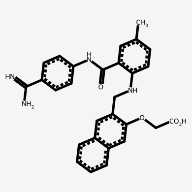 Cc1ccc(NCc2cc3ccccc3cc2OCC(=O)O)c(C(=O)Nc2ccc(C(=N)N)cc2)c1